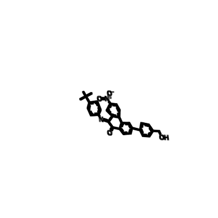 CC(C)(C)c1ccc(/N=C2/C(=O)c3ccc(-c4ccc(CO)cc4)cc3-c3ccc([N+](=O)[O-])cc32)cc1